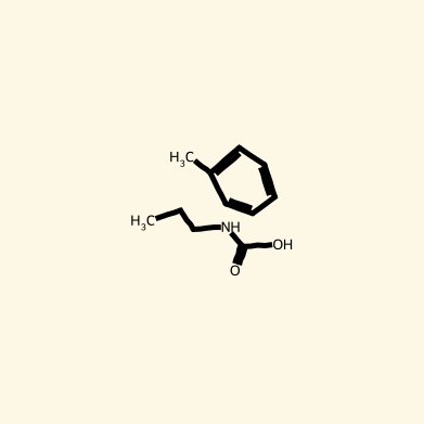 CCCNC(=O)O.Cc1ccccc1